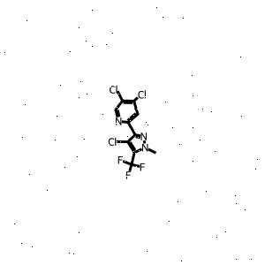 Cn1nc(-c2cc(Cl)c(Cl)cn2)c(Cl)c1C(F)(F)F